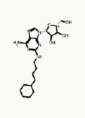 Nc1nc(NCCCCC2CCCCC2)nc2c1ncn2[C@@H]1O[C@H](CO)C(O)C1O